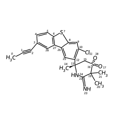 CC#Cc1ccc2sc3cc(Cl)c([C@]4(C)CS(=O)(=O)C(C)(C)C(=N)N4)cc3c2c1